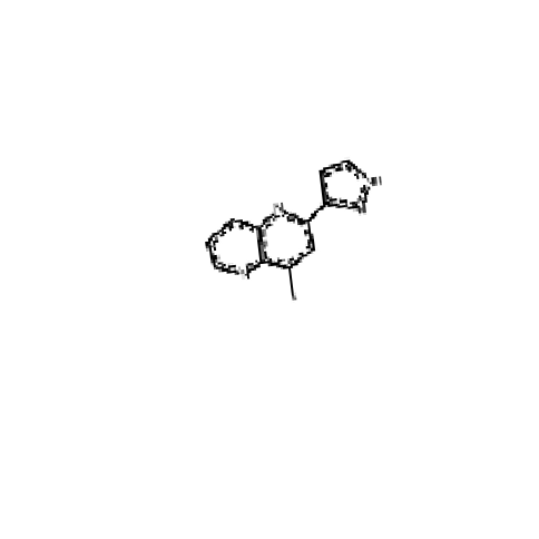 Cc1cc(-c2cc[nH]n2)nc2cccnc12